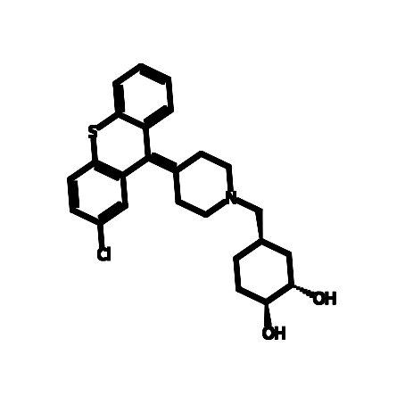 O[C@H]1CC[C@@H](CN2CCC(=C3c4ccccc4Sc4ccc(Cl)cc43)CC2)C[C@@H]1O